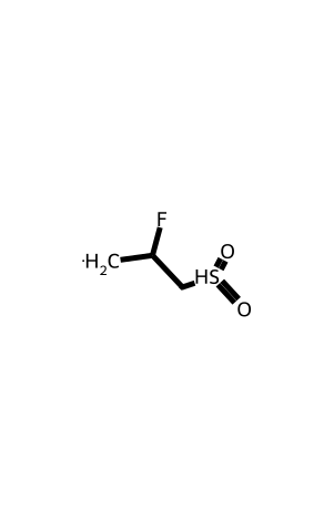 [CH2]C(F)C[SH](=O)=O